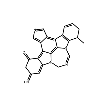 CC1CC=Cc2c1n1c3c2c2c(c4c5c(n(c43)CN=C1)=CC(=N)CC5=O)=CN=C2